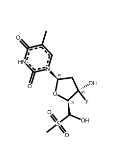 Cc1cn([C@H]2C[C@@](O)(F)[C@@H](C(O)S(C)(=O)=O)O2)c(=O)[nH]c1=O